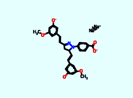 COc1cc([O-])cc(C=CC2=NN(c3ccc(C(=O)[O-])cc3)C(C=Cc3cc([O-])cc(OC)c3)C2)c1.[Na+].[Na+].[Na+]